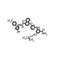 Cc1ccc(-n2nc(C(C)C)cc2NC(=O)Nc2ccc(Oc3ccnc(Nc4cc(OCCCN(C)C)cc(C(N)=O)c4)n3)c3ccccc23)cc1